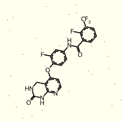 O=C1NCc2c(Oc3ccc(NC(=O)c4cccc(C(F)(F)F)c4F)cc3F)ccnc2N1